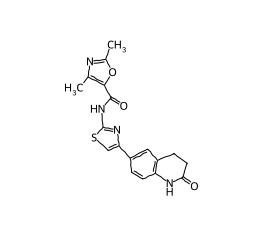 Cc1nc(C)c(C(=O)Nc2nc(-c3ccc4c(c3)CCC(=O)N4)cs2)o1